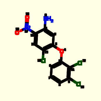 Nc1cc(Oc2cccc(Cl)c2Cl)c(Cl)cc1[N+](=O)[O-]